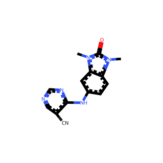 Cn1c(=O)n(C)c2cc(Nc3ncncc3C#N)ccc21